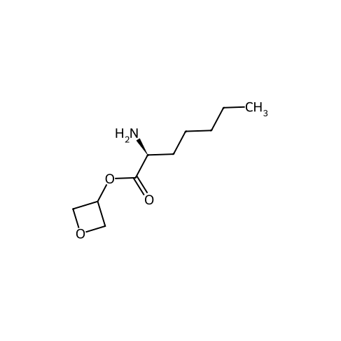 CCCCC[C@H](N)C(=O)OC1COC1